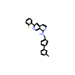 Cc1cccc(-c2ccc(CNc3nccc4cc(-c5ccccc5F)ncc34)cc2)c1